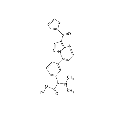 CC(C)OC(=O)N(c1cccc(-c2ccnc3c(C(=O)c4cccs4)cnn23)c1)N(C)C